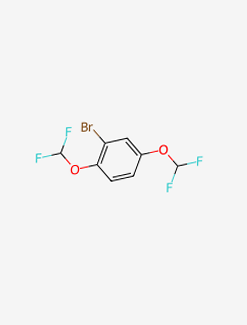 FC(F)Oc1ccc(OC(F)F)c(Br)c1